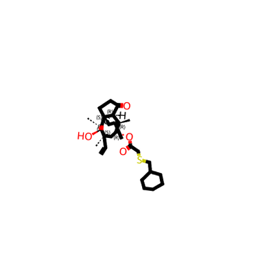 C=C[C@]1(C)C[C@@H](OC(=O)CSCC2CCCCC2)[C@]2(C)C(C)CC[C@]3(CCC(=O)[C@H]32)[C@@H](C)[C@@H]1O